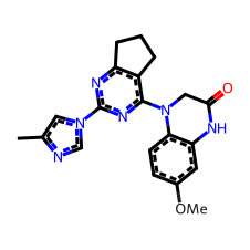 COc1ccc2c(c1)NC(=O)CN2c1nc(-n2cnc(C)c2)nc2c1CCC2